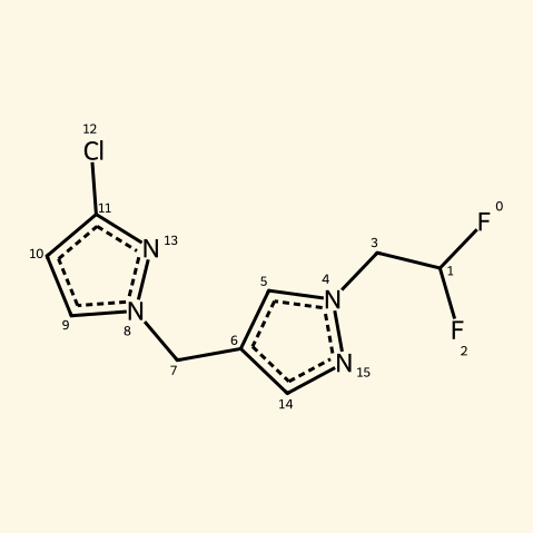 FC(F)Cn1cc(Cn2ccc(Cl)n2)cn1